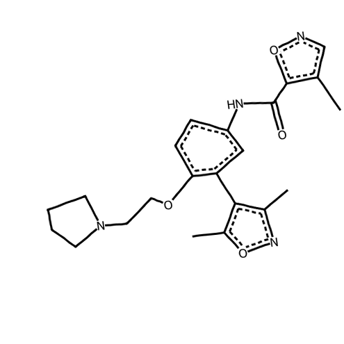 Cc1cnoc1C(=O)Nc1ccc(OCCN2CCCC2)c(-c2c(C)noc2C)c1